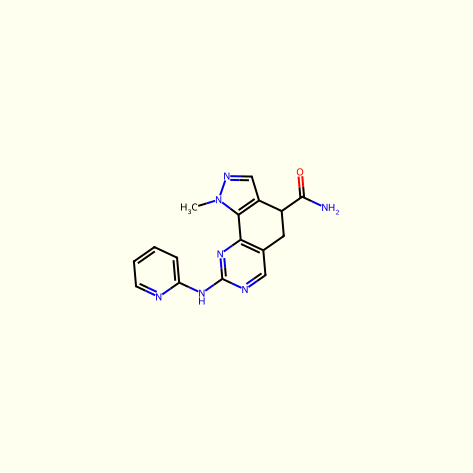 Cn1ncc2c1-c1nc(Nc3ccccn3)ncc1CC2C(N)=O